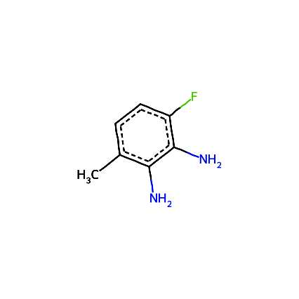 Cc1ccc(F)c(N)c1N